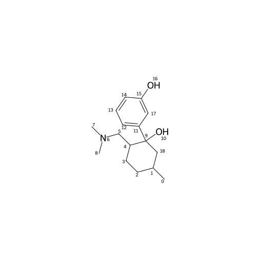 CC1CCC(CN(C)C)C(O)(c2cccc(O)c2)C1